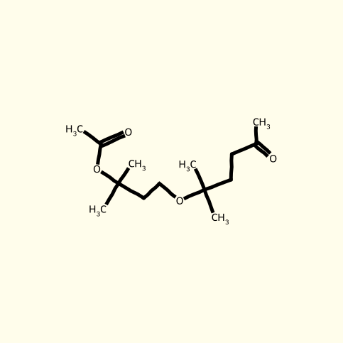 CC(=O)CCC(C)(C)OCCC(C)(C)OC(C)=O